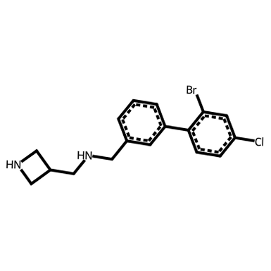 Clc1ccc(-c2cccc(CNCC3CNC3)c2)c(Br)c1